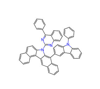 c1ccc(-c2nc(-n3c4ccc5ccccc5c4c4cc5ccccc5c(-c5ccc6c(c5)c5ccccc5n6-c5ccccc5)c43)nc3ccccc23)cc1